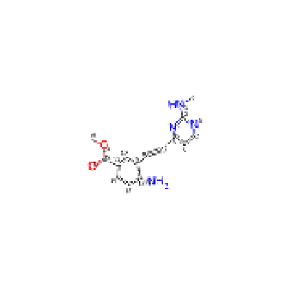 CNc1nccc(C#Cc2cc(C(=O)OC)ccc2N)n1